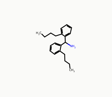 CCCCc1ccccc1C(N)c1ccccc1CCCC